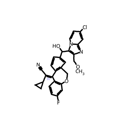 COCc1nc2cc(Cl)ccn2c1C(O)c1ccc2c(c1)COc1cc(F)ccc1/C2=C(/C#N)C1CC1